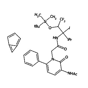 CC(=O)Nc1ccc(-c2ccccc2)n(CC(=O)NC(I)(C(C)C)C(O[Si](C)(C)C(C)(C)C)C(F)(F)F)c1=O.c1cc2cc-2c1